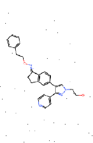 OCCn1cc(-c2ccc3c(c2)CC/C3=N\OCCc2ccccc2)c(-c2ccncc2)n1